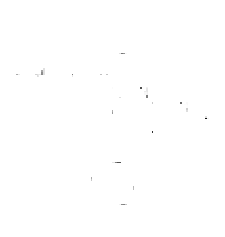 CC(C)CN(C(=O)OCC[Si](C)(C)C)C(N)CCC1CCCCC1